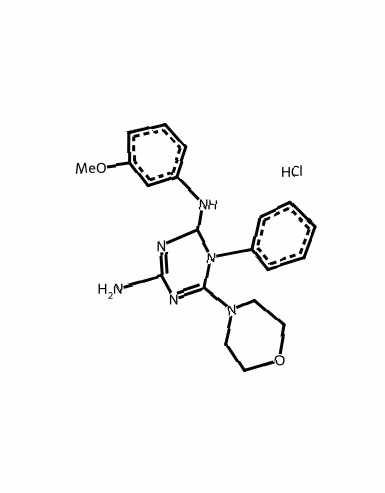 COc1cccc(NC2N=C(N)N=C(N3CCOCC3)N2c2ccccc2)c1.Cl